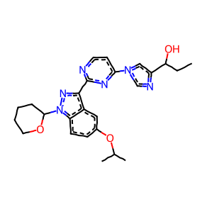 CCC(O)c1cn(-c2ccnc(-c3nn(C4CCCCO4)c4ccc(OC(C)C)cc34)n2)cn1